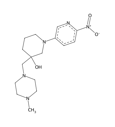 CN1CCN(CC2(O)CCCN(c3ccc([N+](=O)[O-])nc3)C2)CC1